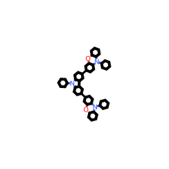 c1ccc(N2c3ccccc3Oc3cc(-c4ccc5c(c4)c4cc(-c6ccc7c(c6)Oc6ccccc6N7c6ccccc6)ccc4n5-c4ccccc4)ccc32)cc1